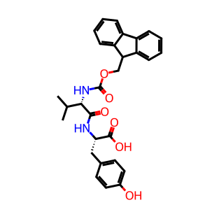 CC(C)[C@H](NC(=O)OCC1c2ccccc2-c2ccccc21)C(=O)N[C@@H](Cc1ccc(O)cc1)C(=O)O